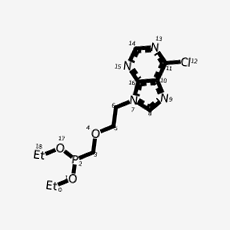 CCOP(COCCn1cnc2c(Cl)ncnc21)OCC